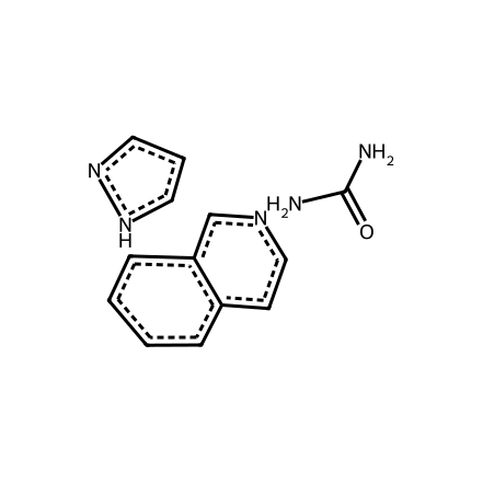 NC(N)=O.c1ccc2cnccc2c1.c1cn[nH]c1